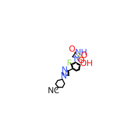 N#C[C@H]1CC[C@H](n2cnc(-c3ccc(O)c(N4CC(=O)NS4(=O)=O)c3F)c2)CC1